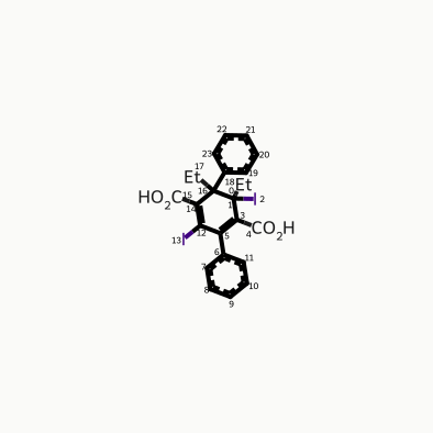 CCC1(I)C(C(=O)O)=C(c2ccccc2)C(I)=C(C(=O)O)C1(CC)c1ccccc1